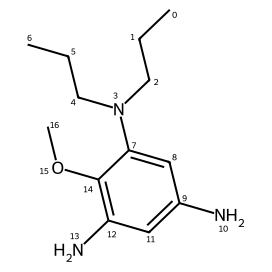 CCCN(CCC)c1cc(N)cc(N)c1OC